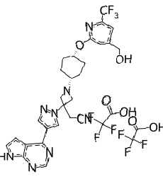 N#CCC1(n2cc(-c3ncnc4[nH]ccc34)cn2)CN([C@H]2CC[C@@H](Oc3cc(CO)cc(C(F)(F)F)n3)CC2)C1.O=C(O)C(F)(F)F.O=C(O)C(F)(F)F